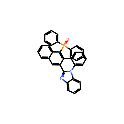 O=P(c1ccccc1)(c1ccccc1)c1c2ccccc2cc2c1c1ccccc1n1c3ccccc3nc21